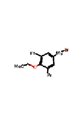 COCOc1c(C(C)C)c[c]([Mg][Br])cc1C(C)C